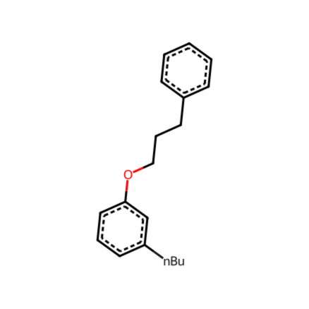 [CH2]CCCc1cccc(OCCCc2ccccc2)c1